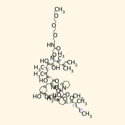 C=C[C@@H](C)C[C@@H](C)/C(=N\OCC(=O)NCCOCCOCCOCC)[C@H](O)[C@H](O)/C(C)=C/[C@@H](C)[C@H](O)C[C@H](OC(=O)[C@@H]1CCCCN1C(=O)C(=O)[C@]1(O)O[C@H](C[C@H](OC)/C(C)=C/C=C/C)CC[C@H]1C)[C@H](N)C[C@@H]1CC[C@@H](O)[C@H](OC)C1